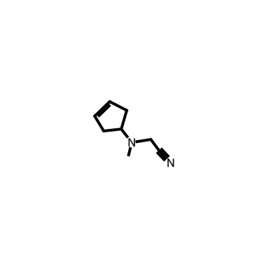 CN(CC#N)C1CC=CC1